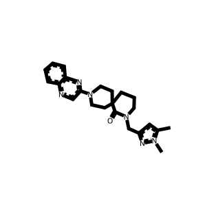 Cc1cc(CN2CCCC3(CCN(c4cnc5ccccc5n4)CC3)C2=O)nn1C